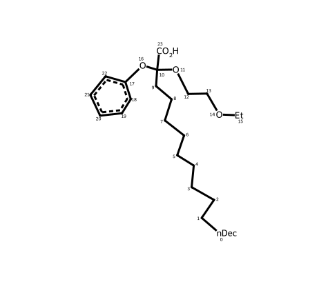 CCCCCCCCCCCCCCCCCCCC(OCCOCC)(Oc1ccccc1)C(=O)O